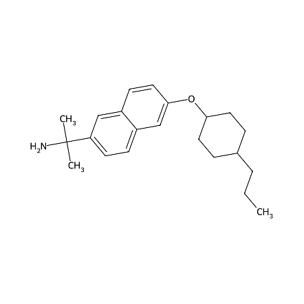 CCCC1CCC(Oc2ccc3cc(C(C)(C)N)ccc3c2)CC1